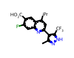 Cc1n[nH]c(C(F)(F)F)c1-c1cc(C(C)C)c2cc(C(=O)O)c(F)cc2n1